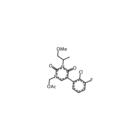 COCC(C)n1c(=O)c(-c2cccc(F)c2Cl)cn(COC(C)=O)c1=O